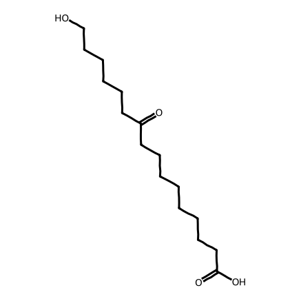 O=C(O)CCCCCCCCC(=O)CCCCCCO